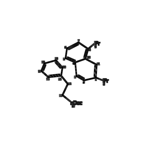 CC(C)c1ccc2cccc(C(C)C)c2c1.CCCCCCCCCCCCc1ccccc1